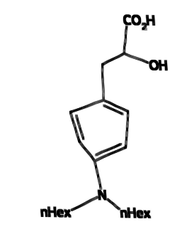 CCCCCCN(CCCCCC)c1ccc(CC(O)C(=O)O)cc1